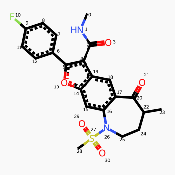 CNC(=O)c1c(-c2ccc(F)cc2)oc2cc3c(cc12)C(=O)C(C)CCN3S(C)(=O)=O